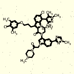 Cc1cc(OCCCc2c3n(c4c(-c5c(C)nn(C)c5C)c(Cl)ccc24)[C@H](C)CN(c2cn(CC(=O)N4CCN(C)CC4)c4ccc(-c5ncn(C)n5)cc24)C3=O)cc(C)c1Cl